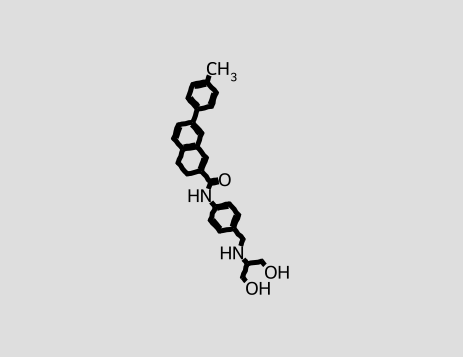 Cc1ccc(-c2ccc3c(c2)C=C(C(=O)Nc2ccc(CNC(CO)CO)cc2)CC3)cc1